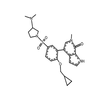 CN(C)C1CCN(S(=O)(=O)c2ccc(OCC3CC3)c(-c3cn(C)c(=O)c4[nH]ccc34)c2)C1